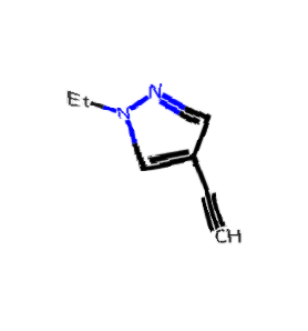 C#Cc1cnn(CC)c1